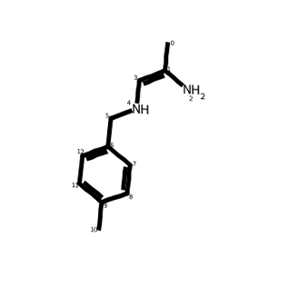 C/C(N)=C/NCc1ccc(C)cc1